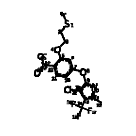 [CH2]SCCOc1cc(Oc2nn(C)c(C(F)(F)F)c2Cl)ccc1[N+](=O)[O-]